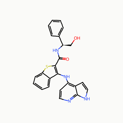 O=C(N[C@H](CO)c1ccccc1)c1sc2ccccc2c1Nc1ccnc2[nH]ccc12